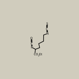 CCOC(=O)C(CCCCN=C=S)N=C=O